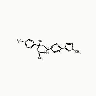 C[C@H]1CC(O)(c2ccc(C(F)(F)F)cc2)C[C@@H](c2cnc(-c3cnn(C)c3)nc2)N1